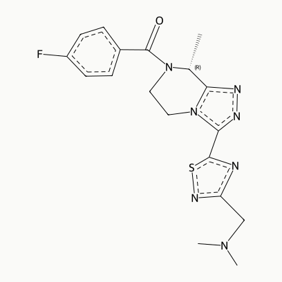 C[C@@H]1c2nnc(-c3nc(CN(C)C)ns3)n2CCN1C(=O)c1ccc(F)cc1